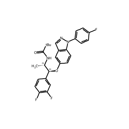 C[C@H](NC(=O)C(C)(C)C)[C@@H](Oc1ccc2c(cnn2-c2ccc(F)cc2)c1)c1ccc(F)c(F)c1